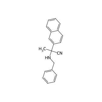 CC(C#N)(NCc1ccccc1)c1ccc2ccccc2c1